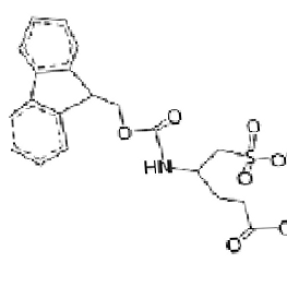 O=C(O)CCC(CS(=O)(=O)O)NC(=O)OCC1c2ccccc2-c2ccccc21